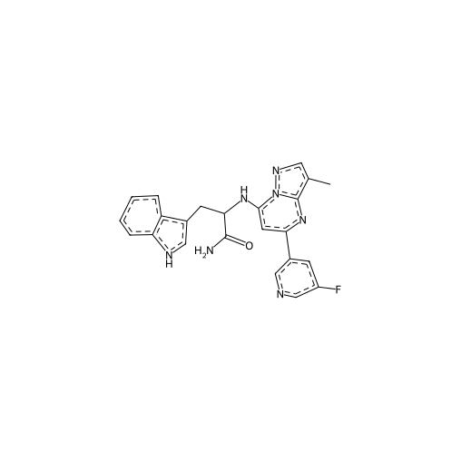 Cc1cnn2c(NC(Cc3c[nH]c4ccccc34)C(N)=O)cc(-c3cncc(F)c3)nc12